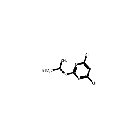 CCOC(=O)C(C)Sc1nc(Cl)cc(Cl)n1